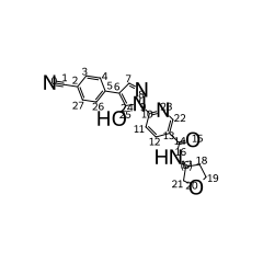 N#Cc1ccc(-c2cnn(-c3ccc(C(=O)N[C@H]4CCOC4)cn3)c2O)cc1